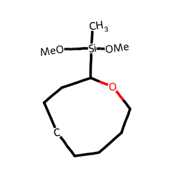 CO[Si](C)(OC)C1CCCCCCCO1